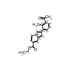 CCOC(=O)c1ccn2cc(-c3cccc(C(C)=O)c3C)cc2c1